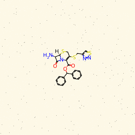 N[C@@H]1C(=O)N2C(C(=O)OC(c3ccccc3)c3ccccc3)=C(SCc3csnn3)CS[C@H]12